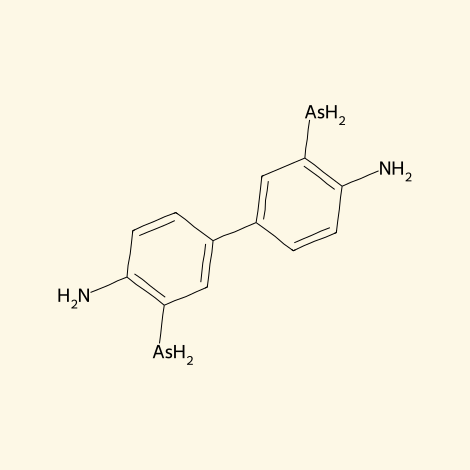 Nc1ccc(-c2ccc(N)c([AsH2])c2)cc1[AsH2]